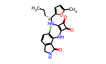 CCC[C@@H](Nc1c(Nc2c(F)ccc3c2C(=O)NC3)c(=O)c1=O)c1ccc(C)o1